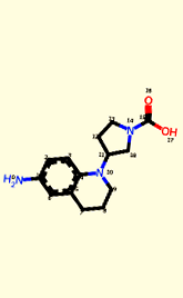 Nc1ccc2c(c1)CCCN2C1CCN(C(=O)O)C1